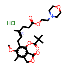 COc1c(C)c2c(c(OC(=O)C(C)(C)C)c1C/C=C(\C)CCC(=O)OCCN1CCOCC1)C(=O)OC2.Cl